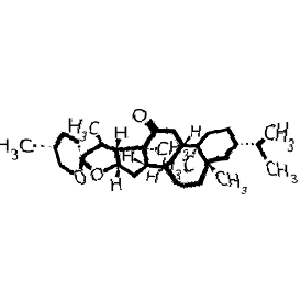 CC(C)[C@H]1CC[C@]2(C)[C@H]3CC(=O)[C@]4(C)[C@@H]5[C@H](C[C@H]4[C@@H]3CC[C@@]2(C)C1)O[C@]1(CC[C@@H](C)CO1)[C@H]5C